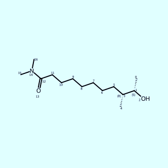 C[C@H](O)[C@H](C)CCCCCCCC(=O)N(C)C